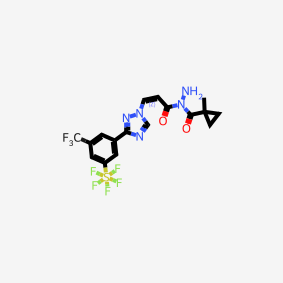 CC1(C(=O)N(N)C(=O)/C=C\n2cnc(-c3cc(C(F)(F)F)cc(S(F)(F)(F)(F)F)c3)n2)CC1